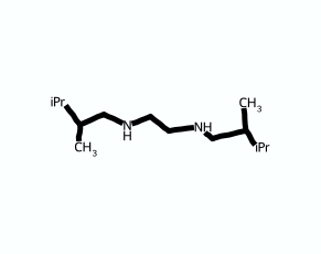 CC(C)C(C)CNCCNCC(C)C(C)C